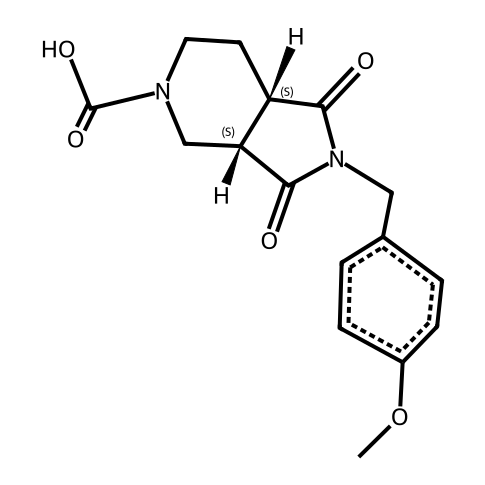 COc1ccc(CN2C(=O)[C@H]3CCN(C(=O)O)C[C@H]3C2=O)cc1